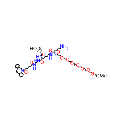 COCCOCCOCCOCCOCCOCCOCCOCCC(=O)N[C@@H](CCCCN)C(=O)NCCCC[C@H](NC(=O)CCC(=O)O)C(=O)NCCNC(=O)CCCCC(=O)N1Cc2ccccc2C#Cc2ccccc21